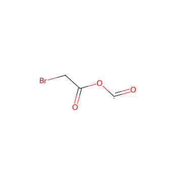 O=[C]OC(=O)CBr